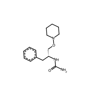 NC(=O)N[C@@H](CON1CCCCC1)Cc1ccccc1